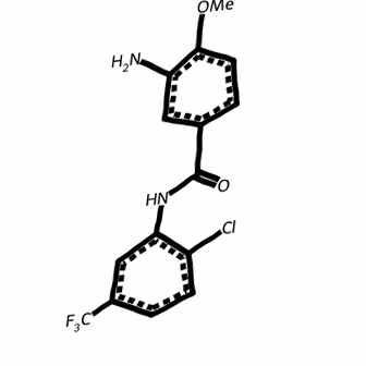 COc1ccc(C(=O)Nc2cc(C(F)(F)F)ccc2Cl)cc1N